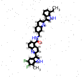 CCc1cccc2c(-c3ccc4ccc(CNC(=O)c5cccc6nc(-c7c[nH]c8c(C)c(F)c(F)cc78)ccc56)cc4n3)c[nH]c12